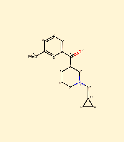 COc1cccc(C(=O)[C@@H]2CCCN(CC3CC3)C2)c1